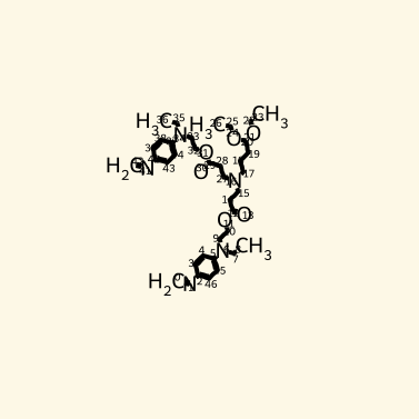 C=Nc1ccc(N(CC)CCOC(=O)CCN(CCCC(OCC)OCC)CCC(=O)OCCN(CC)c2ccc(N=C)cc2)cc1